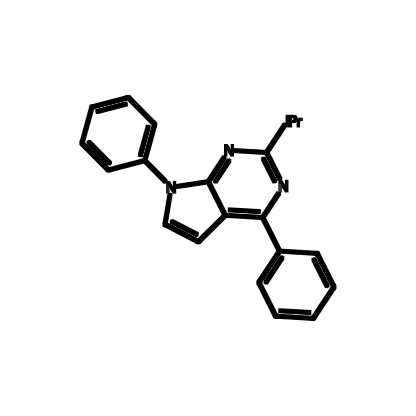 CC(C)c1nc(-c2ccccc2)c2ccn(-c3ccccc3)c2n1